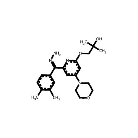 Cc1ccc(C(=NN)c2cc(N3CCOCC3)cc(OCC(C)(C)O)n2)cc1C